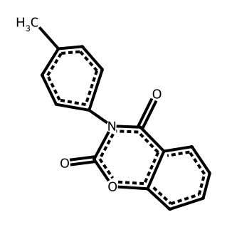 Cc1ccc(-n2c(=O)oc3ccccc3c2=O)cc1